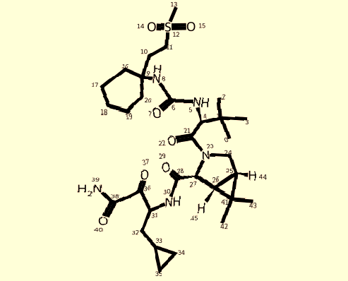 CC(C)(C)[C@H](NC(=O)NC1(CCS(C)(=O)=O)CCCCC1)C(=O)N1C[C@H]2[C@@H]([C@H]1C(=O)NC(CC1CC1)C(=O)C(N)=O)C2(C)C